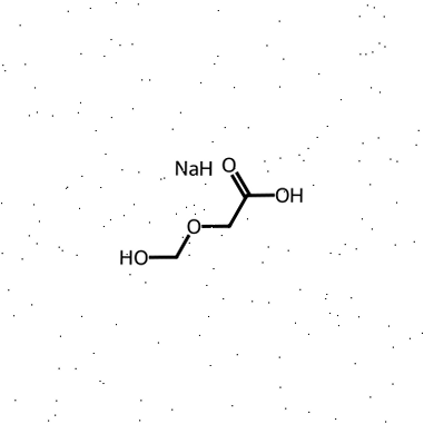 O=C(O)COCO.[NaH]